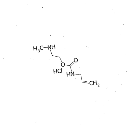 C=CCNC(=O)OCCNC.Cl